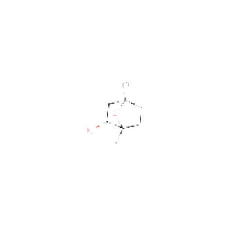 CC(C)C12CCC(C)(O1)C(O)C2